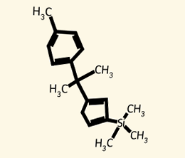 Cc1ccc(C(C)(C)C2=CC([Si](C)(C)C)=CC2)cc1